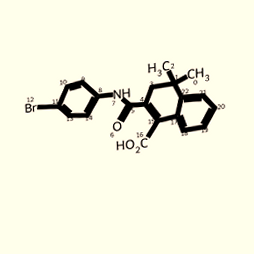 CC1(C)CC(C(=O)Nc2ccc(Br)cc2)=C(C(=O)O)c2ccccc21